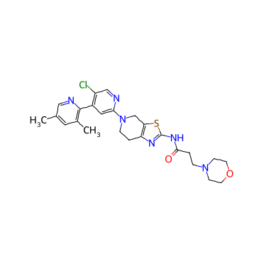 Cc1cnc(-c2cc(N3CCc4nc(NC(=O)CCN5CCOCC5)sc4C3)ncc2Cl)c(C)c1